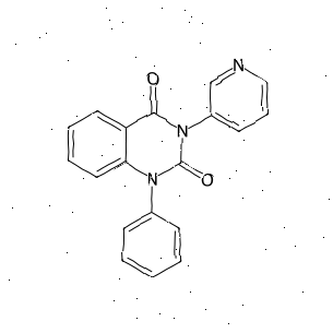 O=c1c2ccccc2n(-c2ccccc2)c(=O)n1-c1cccnc1